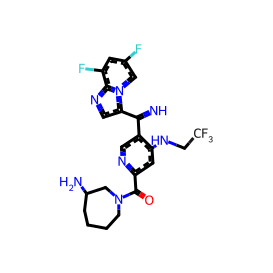 N=C(c1cnc(C(=O)N2CCCCC(N)C2)cc1NCC(F)(F)F)c1cnc2c(F)cc(F)cn12